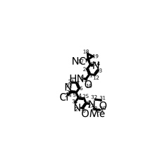 COc1ncc(-c2cc(NC(=O)c3ccnc(C4(C#N)CC4)c3)cnc2Cl)cc1N1CCOCC1